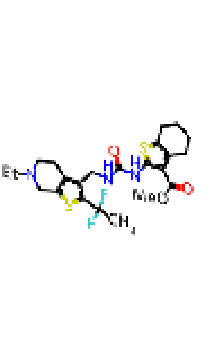 CCN1CCc2c(sc(C(C)(F)F)c2CNC(=O)Nc2sc3c(c2C(=O)OC)CCCC3)C1